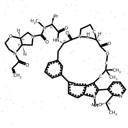 C=CC(=O)N1CCO[C@H]2CN(C(=O)N(C)[C@H](C(=O)N[C@H]3Cc4cccc(c4)-c4ccc5c(c4)c(c(-c4cccnc4[C@H](C)OC)n5CC)CC(C)(C)COC(=O)[C@@H]4CCCN(N4)C3=O)C(C)C)C[C@H]21